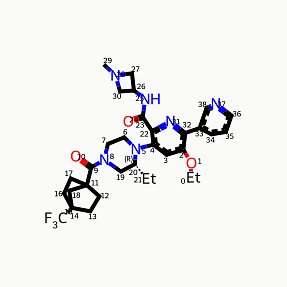 CCOc1cc(N2CCN(C(=O)C34CCC(C(F)(F)F)(CC3)C4)C[C@H]2CC)c(C(=O)NC2CN(C)C2)nc1-c1cccnc1